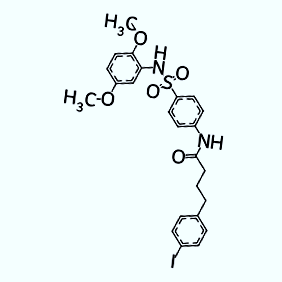 COc1ccc(OC)c(NS(=O)(=O)c2ccc(NC(=O)CCCc3ccc(I)cc3)cc2)c1